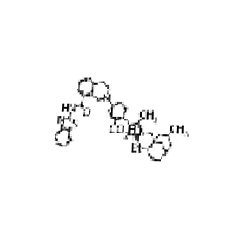 CCC1CCC2CC(C)CC1(Cn1ncc(-c3ccc(N4CCc5cccc(C(=O)Nc6nc7ccccc7s6)c5C4)nc3C(=O)O)c1C)C2